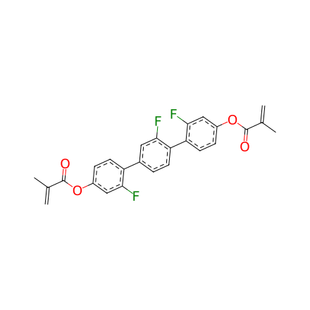 C=C(C)C(=O)Oc1ccc(-c2ccc(-c3ccc(OC(=O)C(=C)C)cc3F)c(F)c2)c(F)c1